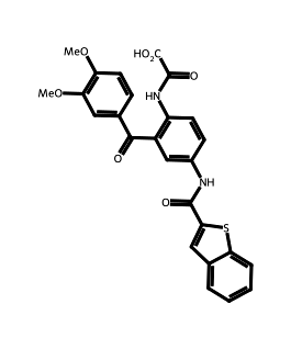 COc1ccc(C(=O)c2cc(NC(=O)c3cc4ccccc4s3)ccc2NC(=O)C(=O)O)cc1OC